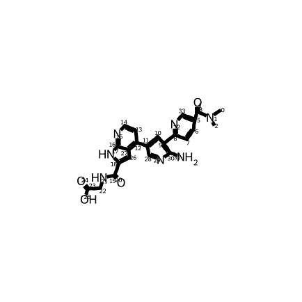 CN(C)C(=O)c1ccc(-c2cc(-c3ccnc4[nH]c(C(=O)NCC(=O)O)cc34)cnc2N)nc1